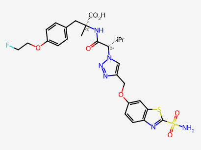 CC(C)[C@@H](C(=O)N[C@@](C)(Cc1ccc(OCCF)cc1)C(=O)O)n1cc(COc2ccc3nc(S(N)(=O)=O)sc3c2)nn1